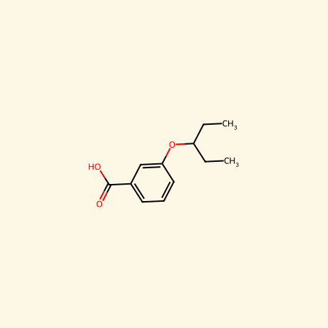 CCC(CC)Oc1cccc(C(=O)O)c1